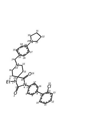 CCN1C(=O)N(c2ccc(-c3ccccc3Cl)cc2)C(=O)C12CCN(Cc1ccc(N3CCCC3)cc1)CC2